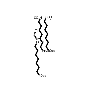 CC(C)[O][Ti].CCCCCCCCCCCCCCCCCC(=O)O.CCCCCCCCCCCCCCCCCC(=O)O.CCCCCCCCCCCCCCCCCC(=O)O